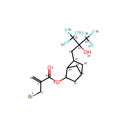 C=C(CBr)C(=O)OC1CC2CC(CC(O)(C(F)(F)F)C(F)(F)F)C1C2